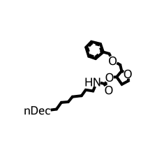 CCCCCCCCCCCCCCCCCNC(=O)OC1CCOC1COCc1ccccc1